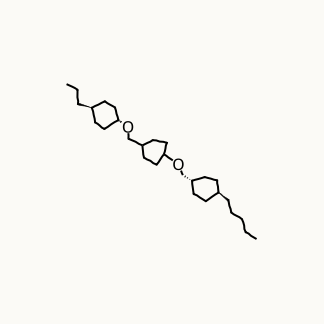 CCCCC[C@H]1CC[C@H](COC2CCC(CO[C@H]3CC[C@H](CCC)CC3)CC2)CC1